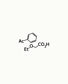 CC(=O)c1ccccc1.CCOCC(=O)O